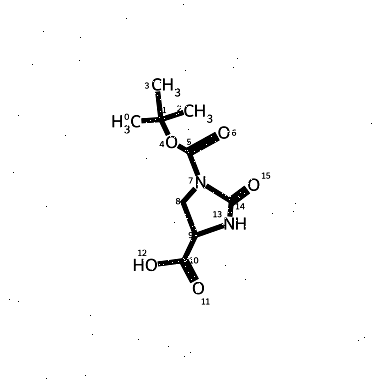 CC(C)(C)OC(=O)N1CC(C(=O)O)NC1=O